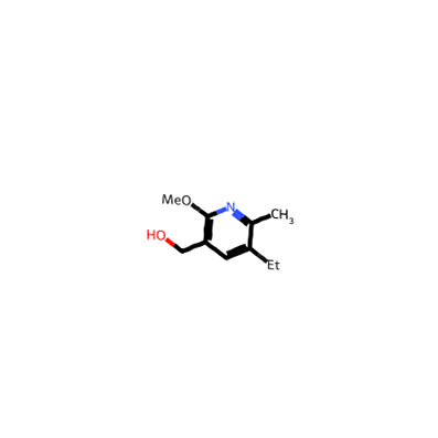 CCc1cc(CO)c(OC)nc1C